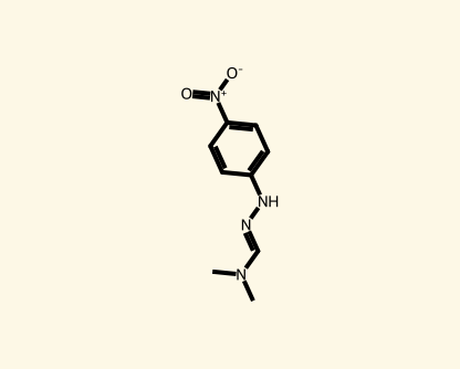 CN(C)C=NNc1ccc([N+](=O)[O-])cc1